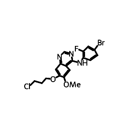 COc1cc2c(Nc3ccc(Br)cc3F)ncnc2cc1OCCCCl